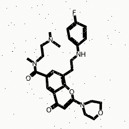 CN(C)CCN(C)C(=O)c1cc(CCNc2ccc(F)cc2)c2oc(N3CCOCC3)cc(=O)c2c1